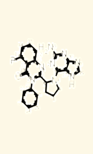 Nc1nc(N2CCCC2c2nc3cccc(F)c3c(=O)n2-c2ccccc2)c2[nH]cnc2n1